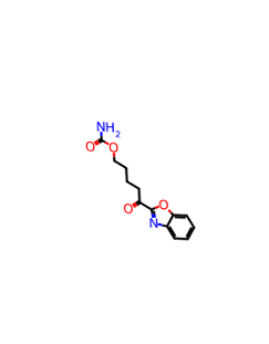 NC(=O)OCCCCC(=O)c1nc2ccccc2o1